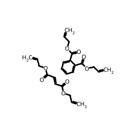 C=CCOC(=O)C=CC(=O)OCC=C.C=CCOC(=O)c1ccccc1C(=O)OCC=C